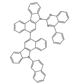 c1ccc(-c2nc(-n3c4ccccc4c4c5ccccc5c(-c5cc6c7ccccc7n(-c7ccc8ccccc8c7)c6c6ccccc56)cc43)nc3ccccc23)cc1